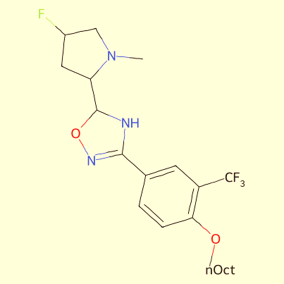 CCCCCCCCOc1ccc(C2=NOC(C3CC(F)CN3C)N2)cc1C(F)(F)F